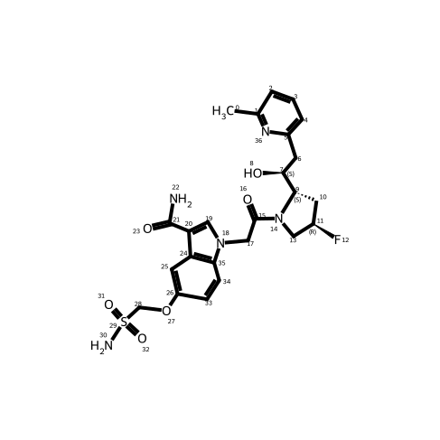 Cc1cccc(C[C@H](O)[C@@H]2C[C@@H](F)CN2C(=O)Cn2cc(C(N)=O)c3cc(OCS(N)(=O)=O)ccc32)n1